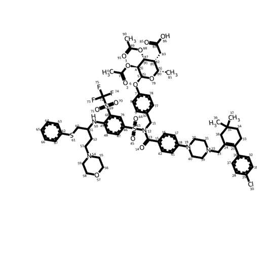 CC(=O)O[C@@H]1[C@H](Oc2ccc(CN(C(=O)c3ccc(N4CCN(CC5=C(c6ccc(Cl)cc6)CCC(C)(C)C5)CC4)cc3)S(=O)(=O)c3ccc(NC(CCN4CCOCC4)CSc4ccccc4)c(S(=O)(=O)C(F)(F)F)c3)cc2)O[C@@H](C)[C@@H](CC(=O)O)[C@H]1OC(C)=O